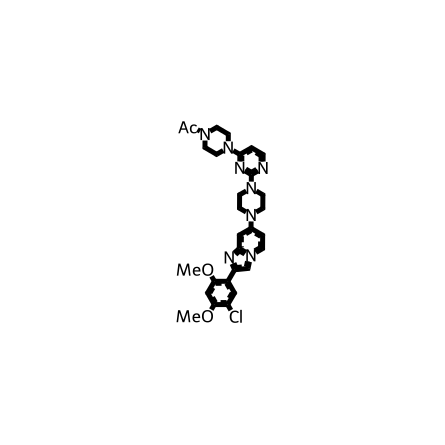 COc1cc(OC)c(-c2cn3ccc(N4CCN(c5nccc(N6CCN(C(C)=O)CC6)n5)CC4)cc3n2)cc1Cl